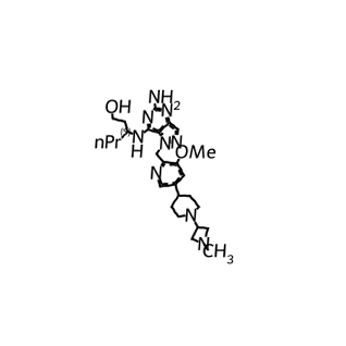 CCC[C@@H](CCO)Nc1nc(N)nc2cnn(Cc3ncc(C4CCN(C5CN(C)C5)CC4)cc3OC)c12